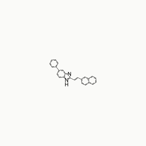 C(=C\c1nc2cc(-c3ccccc3)ccc2[nH]1)/c1ccc2ccccc2c1